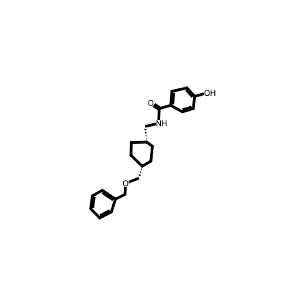 O=C(NC[C@H]1CC[C@@H](COCc2ccccc2)CC1)c1ccc(O)cc1